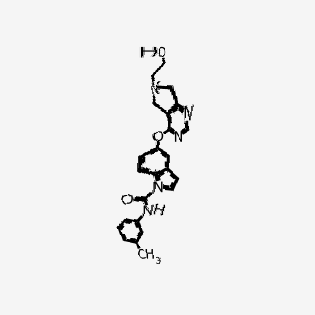 Cc1cccc(NC(=O)n2ccc3cc(Oc4ncnc5c4CN(CCO)C5)ccc32)c1